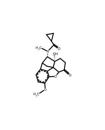 COc1ccc2c3c1OC1C(=O)CC[C@]4(O)[C@@H](N(C)C(=O)C5CC5)C2CC314